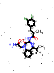 CC(C)C1=NC(NC(=O)[C@@H](C)Cc2ccc(F)c(F)c2)C(=O)N(CC(N)=O)c2ccccc21